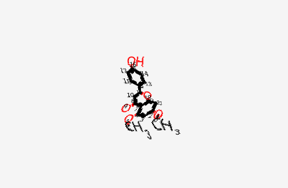 COc1cc(OC)c2c(=O)cc(-c3ccc(O)cc3)oc2c1